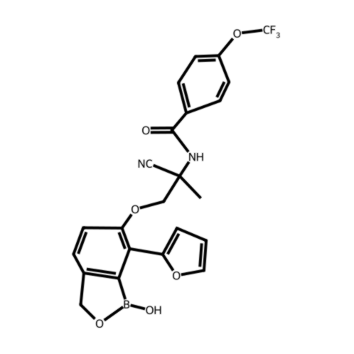 CC(C#N)(COc1ccc2c(c1-c1ccco1)B(O)OC2)NC(=O)c1ccc(OC(F)(F)F)cc1